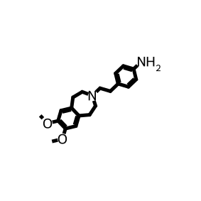 COc1cc2c(cc1OC)CCN(CCc1ccc(N)cc1)CC2